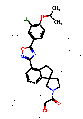 CC(C)Oc1ccc(-c2nc(-c3cccc4c3CCC43CCN(C(=O)CO)C3)no2)cc1Cl